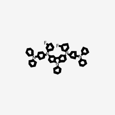 Fc1cccc(N(c2ccc(N(c3ccccc3)c3ccccc3)cc2)c2ccc3c(c2)c2cc(N(c4ccc(N(c5ccccc5)c5ccccc5)cc4)c4cccc(F)c4)ccc2n3-c2ccccc2)c1